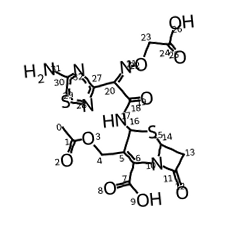 CC(=O)OCC1=C(C(=O)O)N2C(=O)CC2SC1NC(=O)/C(=N\OCC(=O)O)c1nsc(N)n1